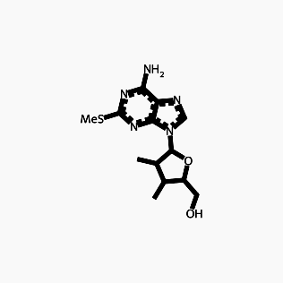 CSc1nc(N)c2ncn(C3OC(CO)C(C)C3C)c2n1